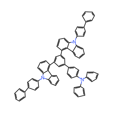 c1ccc(-c2ccc(-n3c4ccccc4c4c(-c5cc(-c6ccc(N(c7ccccc7)c7ccccc7)cc6)cc(-c6cccc7c6c6ccccc6n7-c6ccc(-c7ccccc7)cc6)c5)cccc43)cc2)cc1